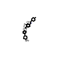 CCCC1CCC(c2ccc(OC(F)(F)c3ccc(/C=C/C4CCC(C)CC4)c(C(F)(F)F)c3F)cc2)CC1